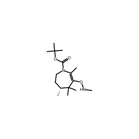 CNOC1=C(C)N(C(=O)OC(C)(C)C)CC[C@@H](C)C1(C)C